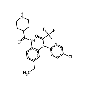 CCc1ccc(NC(=O)C2CCNCC2)c(N(C(=O)C(F)(F)F)c2ccc(Cl)cn2)c1